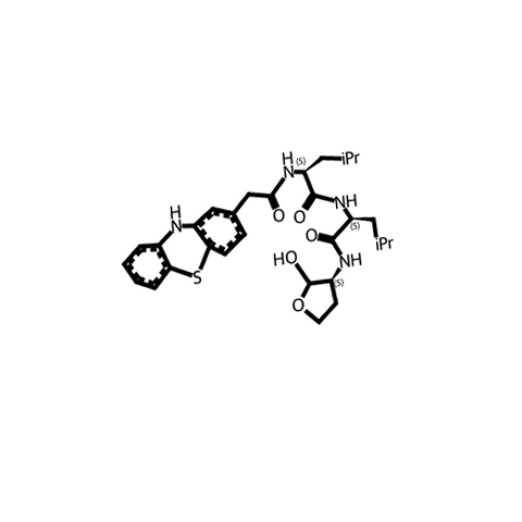 CC(C)C[C@H](NC(=O)Cc1ccc2c(c1)Nc1ccccc1S2)C(=O)N[C@@H](CC(C)C)C(=O)N[C@H]1CCOC1O